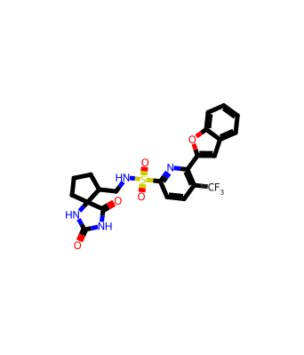 O=C1NC(=O)C2(CCCC2CNS(=O)(=O)c2ccc(C(F)(F)F)c(-c3cc4ccccc4o3)n2)N1